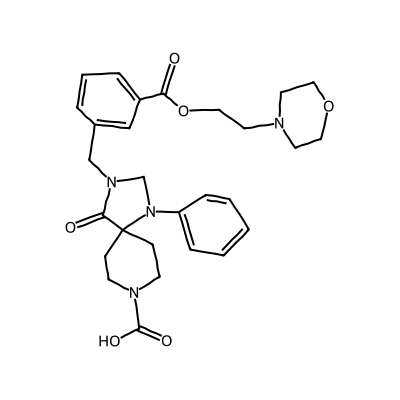 O=C(OCCN1CCOCC1)c1cccc(CN2CN(c3ccccc3)C3(CCN(C(=O)O)CC3)C2=O)c1